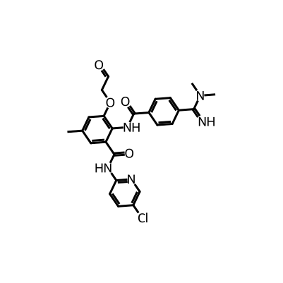 Cc1cc(OCC=O)c(NC(=O)c2ccc(C(=N)N(C)C)cc2)c(C(=O)Nc2ccc(Cl)cn2)c1